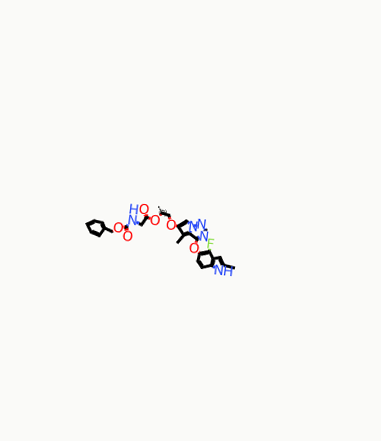 Cc1cc2c(F)c(Oc3ncnn4cc(OC[C@@H](C)OC(=O)CNC(=O)OCc5ccccc5)c(C)c34)ccc2[nH]1